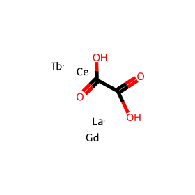 O=C(O)C(=O)O.[Ce].[Gd].[La].[Tb]